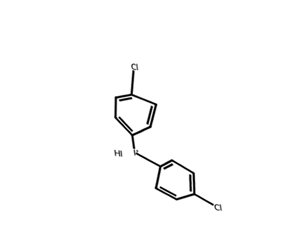 Clc1ccc([I+]c2ccc(Cl)cc2)cc1.I